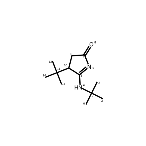 CC(C)(C)NC1=NC(=O)CC1C(C)(C)C